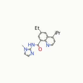 CCc1cc(C(=O)Nc2nccn2C)c2nccc(C(C)C)c2c1